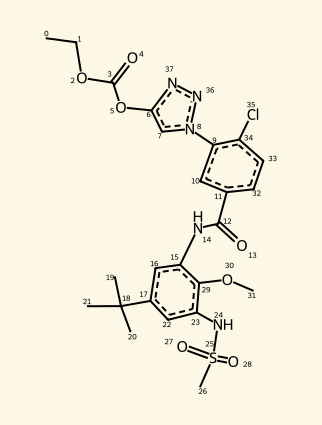 CCOC(=O)Oc1cn(-c2cc(C(=O)Nc3cc(C(C)(C)C)cc(NS(C)(=O)=O)c3OC)ccc2Cl)nn1